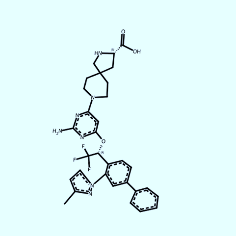 Cc1ccn(-c2cc(-c3ccccc3)ccc2[C@@H](Oc2cc(N3CCC4(CC3)CN[C@H](C(=O)O)C4)nc(N)n2)C(F)(F)F)n1